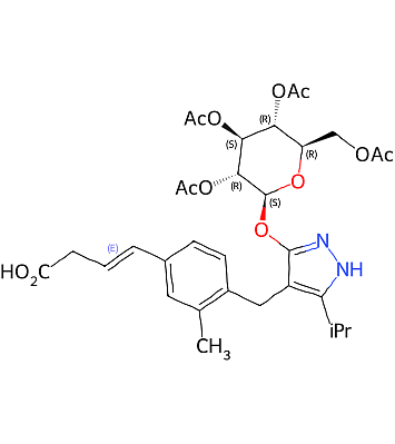 CC(=O)OC[C@H]1O[C@@H](Oc2n[nH]c(C(C)C)c2Cc2ccc(/C=C/CC(=O)O)cc2C)[C@H](OC(C)=O)[C@@H](OC(C)=O)[C@@H]1OC(C)=O